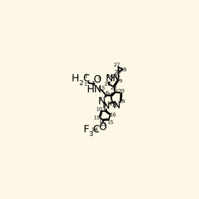 C=CC(=O)NCc1nn(-c2ccc(OC(F)(F)F)cc2)c2nccc(-c3cnn(C4CC4)c3)c12